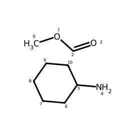 COC=O.NC1CCCCC1